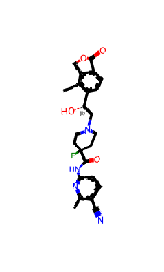 Cc1nc(NC(=O)C2(F)CCN(C[C@H](O)c3ccc4c(c3C)COC4=O)CC2)ccc1C#N